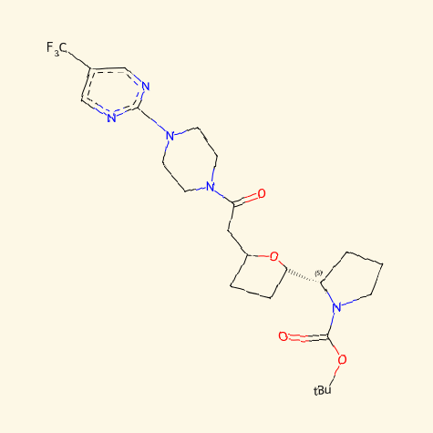 CC(C)(C)OC(=O)N1CCC[C@H]1C1CCC(CC(=O)N2CCN(c3ncc(C(F)(F)F)cn3)CC2)O1